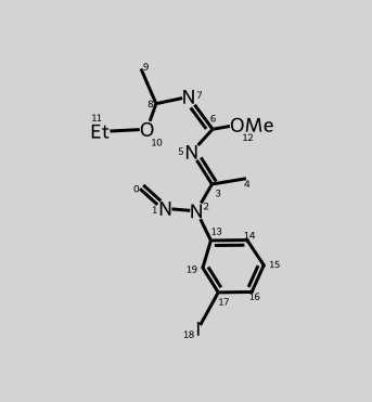 C=NN(/C(C)=N/C(=N\C(C)OCC)OC)c1cccc(I)c1